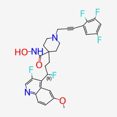 COc1ccc2ncc(F)c([C@H](F)CCC3(C(=O)NO)CCN(CC#Cc4cc(F)cc(F)c4F)CC3)c2c1